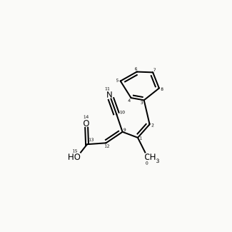 CC(=Cc1ccccc1)C(C#N)=CC(=O)O